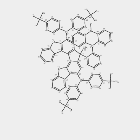 CN1c2ccccc2N(c2ccccc2C2(O)c3cc(N(c4ccc(C(C)(C)C)cc4)c4ccc(C(C)(C)C)cc4)c4c(oc5ccccc54)c3-c3c2cc(N(c2ccc(C(C)(C)C)cc2)c2ccc(C(C)(C)C)cc2)c2oc4ccccc4c32)c2ccccc21